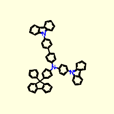 c1ccc(C2(c3ccc(N(c4ccc(-c5ccc(-n6c7ccccc7c7ccccc76)cc5)cc4)c4ccc(-n5c6ccccc6c6ccccc65)cc4)cc3)c3ccccc3-c3ccccc32)cc1